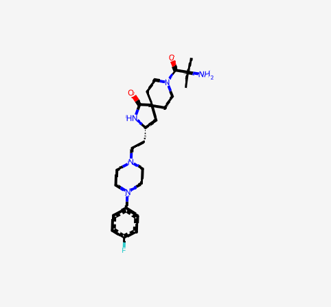 CC(C)(N)C(=O)N1CCC2(CC1)C[C@H](CCN1CCN(c3ccc(F)cc3)CC1)NC2=O